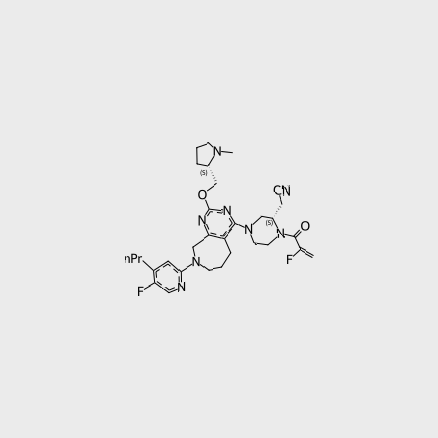 C=C(F)C(=O)N1CCN(c2nc(OC[C@@H]3CCCN3C)nc3c2CCCN(c2cc(CCC)c(F)cn2)C3)C[C@@H]1CC#N